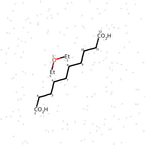 CCOCC.O=C(O)CCCCCCCCC(=O)O